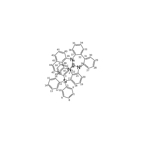 c1ccc([Si](c2ccccc2)(c2ccccc2)c2cccc3c2N2B4N3c3ccccc3-c3ccccc3N4c3cccc4cccc2c34)cc1